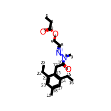 CCC(=O)OC/C=N/N(C)C(=O)Cc1c(CC)cc(C)cc1CC